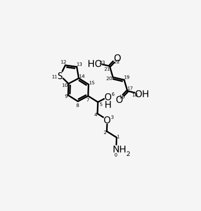 NCCOCC(O)c1ccc2sccc2c1.O=C(O)C=CC(=O)O